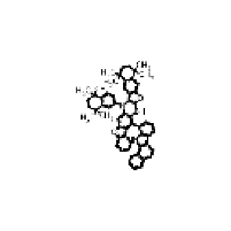 CC1(C)CCC(C)(C)c2cc(N3c4cc5oc6ccccc6c5c(-c5cccc6c5[nH]c5c7ccccc7ccc65)c4Bc4oc5cc6c(cc5c43)C(C)(C)CCC6(C)C)ccc21